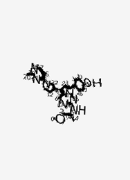 COC[C@H](C)Nc1ncc2c([C@H]3CCN(c4ccnc(C)n4)C3)cc(C3CCC(O)CC3)n2n1